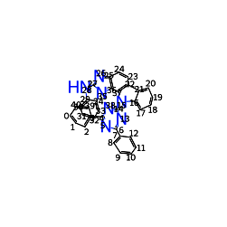 c1ccc(-c2nc(-c3ccccc3)nc(-n3c4ccccc4c4ccc5nc6[nH]c7ccccc7n6c5c43)n2)cc1